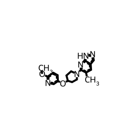 COc1ccc(OC2CCN(c3nc4[nH]ncc4cc3C)CC2)cn1